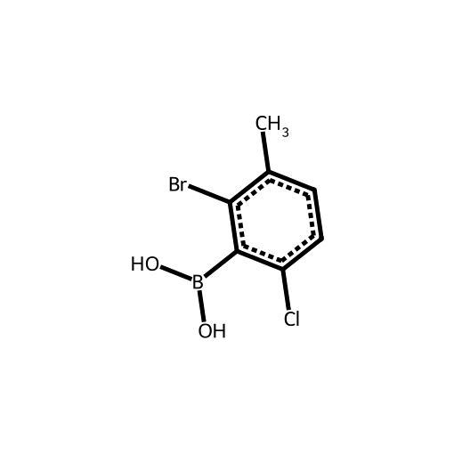 Cc1ccc(Cl)c(B(O)O)c1Br